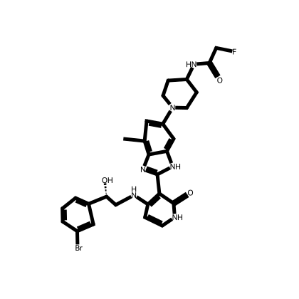 Cc1cc(N2CCC(NC(=O)CF)CC2)cc2[nH]c(-c3c(NC[C@@H](O)c4cccc(Br)c4)cc[nH]c3=O)nc12